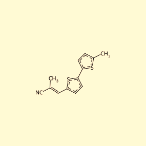 CC(C#N)=Cc1ccc(-c2ccc(C)s2)s1